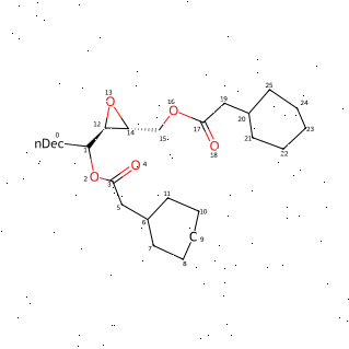 CCCCCCCCCCC(OC(=O)CC1CCCCC1)[C@H]1O[C@@H]1COC(=O)CC1CCCCC1